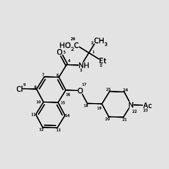 CCC(C)(NC(=O)c1cc(Cl)c2ccccc2c1OCC1CCN(C(C)=O)CC1)C(=O)O